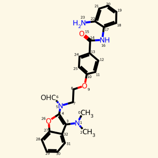 CN(C)c1c(N(C=O)CCOc2ccc(C(=O)Nc3ccccc3N)cc2)oc2ccccc12